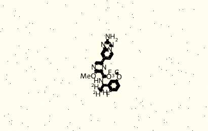 [2H]C([2H])([2H])[C@@H](NC(=O)c1nc(-c2ccn3nc(N)nc3c2)cnc1OC)c1cc(OC(F)(F)F)ccc1F